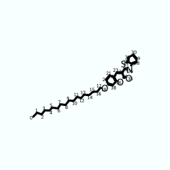 CCCCCCCCCCCCCCCCCCOc1ccc2cc(-c3nc4ccccc4s3)c(=O)oc2c1